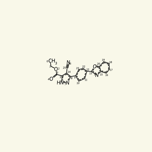 CCOC(=O)c1[nH]nc(-c2ccc(-c3nc4ccccc4o3)cc2)c1C#N